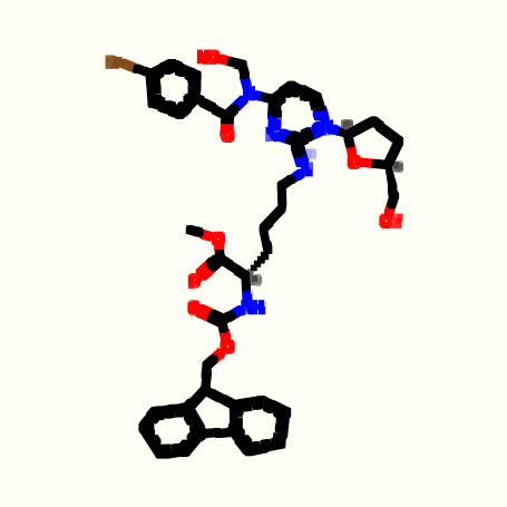 COC(=O)[C@H](CCCC/N=c1\nc(N(CO)C(=O)c2ccc(Br)cc2)ccn1[C@H]1CC[C@@H](CO)O1)NC(=O)OCC1c2ccccc2-c2ccccc21